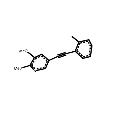 COc1cc(C#Cc2ccccc2C)cnc1OC